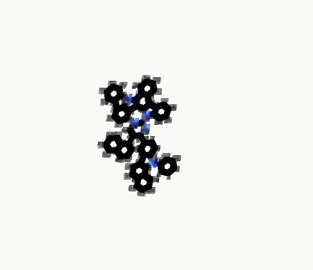 c1ccc(-n2c3ccc(-c4nc(-n5c6ccccc6c6c7ccccc7c7c(c8cccc9c%10ccccc%10n7c98)c65)ncc4-c4cccc5ccccc45)cc3c3ccc4ccccc4c32)cc1